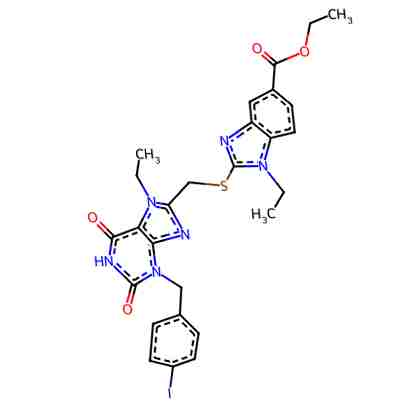 CCOC(=O)c1ccc2c(c1)nc(SCc1nc3c(c(=O)[nH]c(=O)n3Cc3ccc(I)cc3)n1CC)n2CC